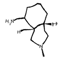 CN1C[C@H]2CCCC(N)[C@H]2C1